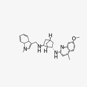 COc1ccc2c(C)cc(N[C@H]3C[C@@H]4C[C@H]3[C@@H](NCC3=CN(C)C5C=CC=CC35)C4)nc2c1